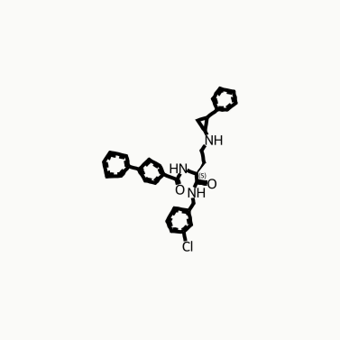 O=C(N[C@@H](CCNC1CC1c1ccccc1)C(=O)NCc1cccc(Cl)c1)c1ccc(-c2ccccc2)cc1